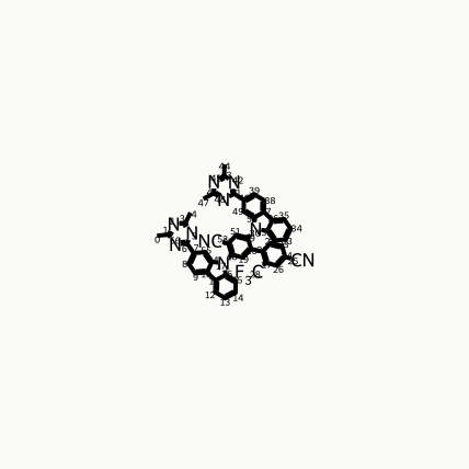 Cc1nc(C)nc(-c2ccc3c4ccccc4n(-c4cc(-c5ccc(C#N)cc5C(F)(F)F)c(-n5c6ccccc6c6ccc(-c7nc(C)nc(C)n7)cc65)cc4C#N)c3c2)n1